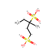 CCC(C)(CCS(=O)(=O)O)S(=O)(=O)O